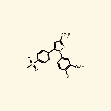 CCOC(=O)c1cc(-c2ccc(S(C)(=O)=O)cc2)n(-c2ccc(Br)c(OC)c2)n1